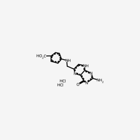 Cl.Cl.Nc1nc2[nH]cc(CNc3ccc(C(=O)O)cc3)nc-2c(=O)n1